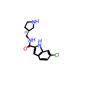 O=C(NC[C@H]1CCNC1)c1cc2ccc(Cl)cc2[nH]1